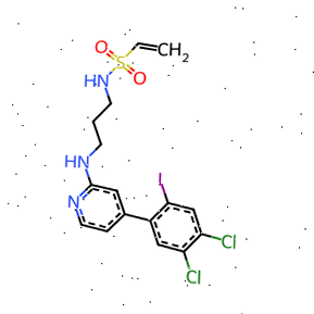 C=CS(=O)(=O)NCCCNc1cc(-c2cc(Cl)c(Cl)cc2I)ccn1